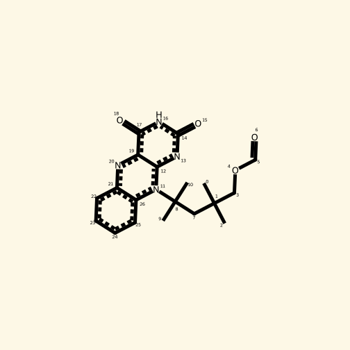 CC(C)(COC=O)CC(C)(C)n1c2nc(=O)[nH]c(=O)c-2nc2ccccc21